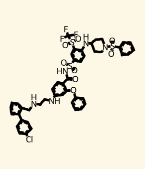 O=C(NS(=O)(=O)c1ccc(NC2CCN(S(=O)(=O)c3ccccc3)CC2)c(S(=O)(=O)C(F)(F)F)c1)c1ccc(NCCNCc2ccccc2-c2ccc(Cl)cc2)cc1Oc1ccccc1